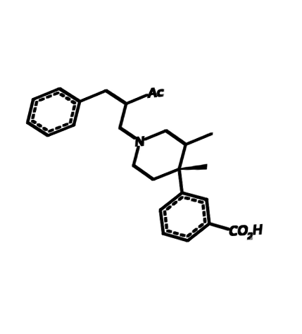 CC(=O)C(Cc1ccccc1)CN1CC[C@@](C)(c2cccc(C(=O)O)c2)C(C)C1